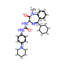 CCCN1C(=O)C(NC(=O)Nc2ccc(N3CCCCC3)cc2)N=C(C2CCCCC2)c2ccccc21